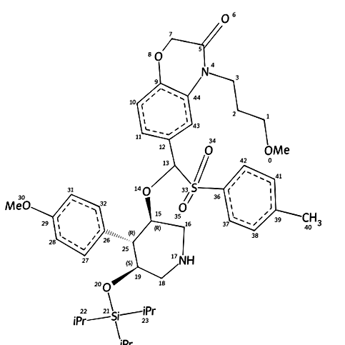 COCCCN1C(=O)COc2ccc(C(O[C@H]3CNC[C@@H](O[Si](C(C)C)(C(C)C)C(C)C)[C@@H]3c3ccc(OC)cc3)S(=O)(=O)c3ccc(C)cc3)cc21